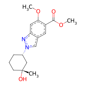 COC(=O)c1cc2cn([C@H]3CCC[C@@](C)(O)C3)nc2cc1OC